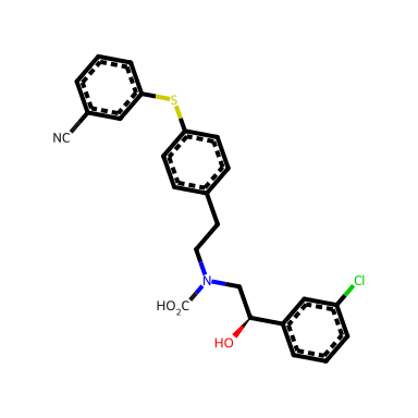 N#Cc1cccc(Sc2ccc(CCN(C[C@H](O)c3cccc(Cl)c3)C(=O)O)cc2)c1